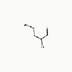 CCC(CI)COC(C)=O